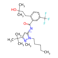 CCCCCn1/c(=N/C(=O)c2cc(C(F)(F)F)ccc2CCC(C)(C)O)cc(C(C)(C)C)n1C